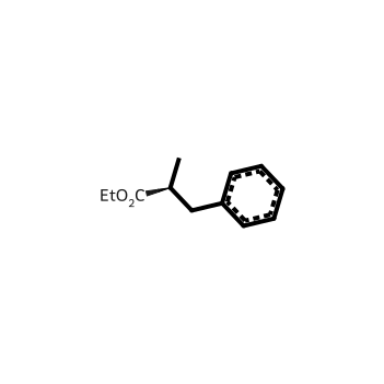 CCOC(=O)[C@@H](C)Cc1ccccc1